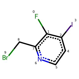 Fc1c(I)ccnc1CBr